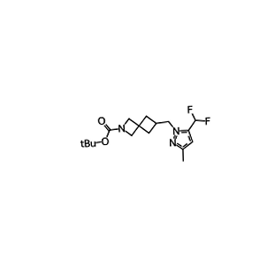 Cc1cc(C(F)F)n(CC2CC3(C2)CN(C(=O)OC(C)(C)C)C3)n1